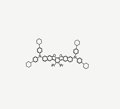 CC(C)c1c(C(C)C)c2c3cc4ccc(N(c5ccc(C6CCCCC6)cc5)c5ccc(C6CCCCC6)cc5)cc4cc3oc2c2oc3cc4cc(N(c5ccc(C6CCCCC6)cc5)c5ccc(C6CCCCC6)cc5)ccc4cc3c12